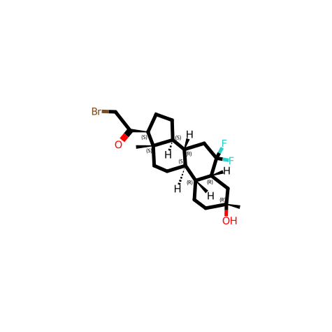 C[C@@]1(O)CC[C@@H]2[C@H]3CC[C@]4(C)[C@@H](C(=O)CBr)CC[C@H]4[C@@H]3CC(F)(F)[C@@H]2C1